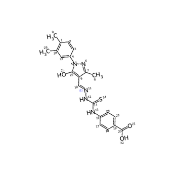 Cc1ccc(-n2nc(C)c(/C=N/NC(=S)Nc3ccc(C(=O)O)cc3)c2O)cc1C